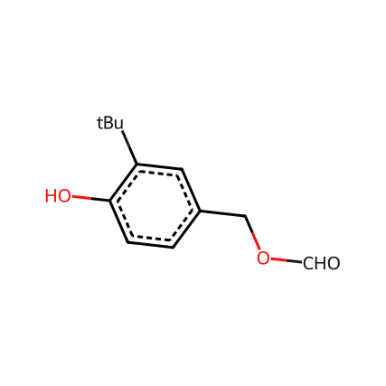 CC(C)(C)c1cc(COC=O)ccc1O